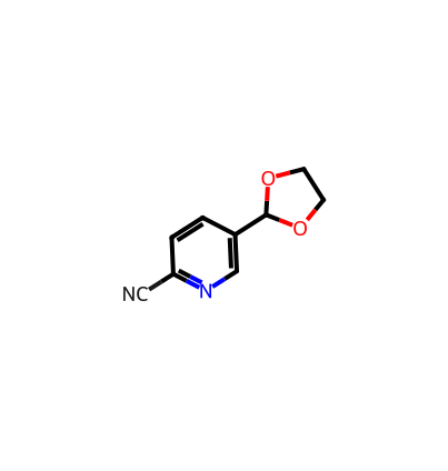 N#Cc1ccc(C2OCCO2)cn1